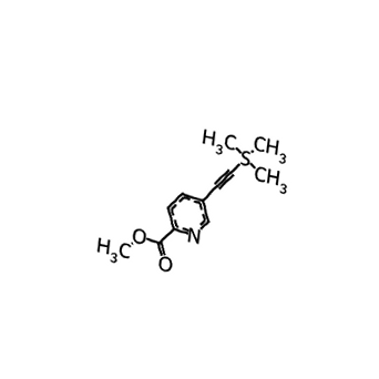 COC(=O)c1ccc(C#CS(C)(C)C)cn1